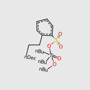 CCCCCCCCCCCCc1ccccc1S(=O)(=O)[O][Ti](=[O])([CH2]CCC)([CH2]CCC)[O]CCCC